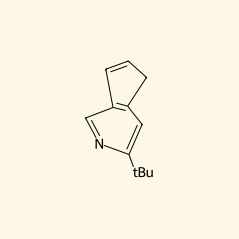 CC(C)(C)c1cc2c(cn1)C=CC2